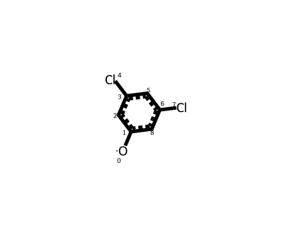 [O]c1cc(Cl)cc(Cl)c1